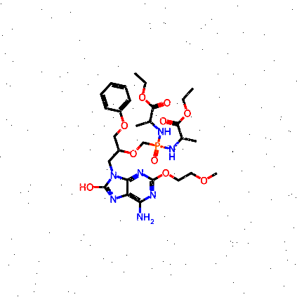 CCOC(=O)C(C)NP(=O)(COC(COc1ccccc1)Cn1c(O)nc2c(N)nc(OCCOC)nc21)NC(C)C(=O)OCC